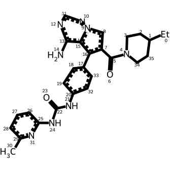 CCC1CCN(C(=O)c2cn3ncnc(N)c3c2-c2ccc(NC(=O)Nc3cccc(C)n3)cc2)CC1